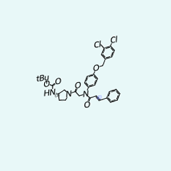 CC(C)(C)OC(=O)N[C@H]1CCN(C(=O)CN(C(=O)/C=C/c2ccccc2)c2ccc(OCc3ccc(Cl)c(Cl)c3)cc2)C1